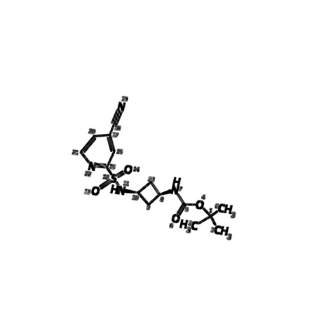 CC(C)(C)OC(=O)N[C@H]1C[C@@H](NS(=O)(=O)c2cc(C#N)ccn2)C1